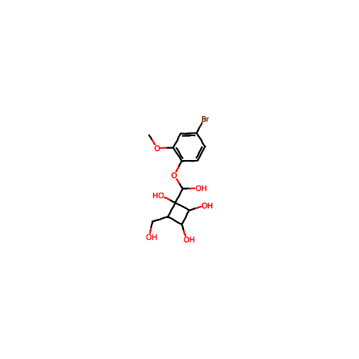 COc1cc(Br)ccc1OC(O)C1(O)C(O)C(O)C1CO